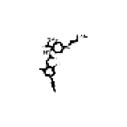 CC#Cc1cc(C)c(CC(=O)NC2(C(=O)OC)CCC(OCCOC)CC2)c(Cl)c1